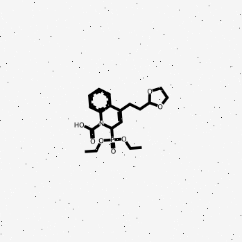 CCOP(=O)(OCC)C1C=C(CCC2OCCO2)c2ccccc2N1C(=O)O